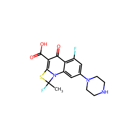 CC1(F)Sc2c(C(=O)O)c(=O)c3c(F)cc(N4CCNCC4)cc3n21